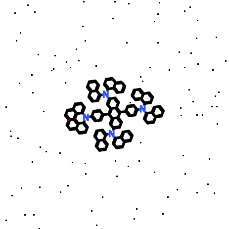 c1ccc2c(N(c3ccc(-c4c5ccc(N(c6cccc7ccccc67)c6cccc7ccccc67)cc5c(-c5ccc(N(c6cccc7ccccc67)c6cccc7ccccc67)cc5)c5cc(N(c6cccc7ccccc67)c6cccc7ccccc67)ccc45)cc3)c3cccc4ccccc34)cccc2c1